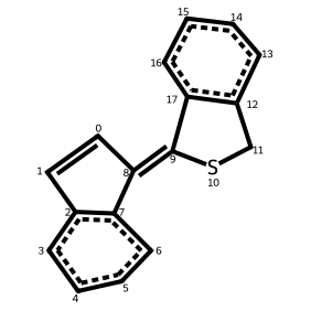 C1=Cc2ccccc2C1=C1SCc2ccccc21